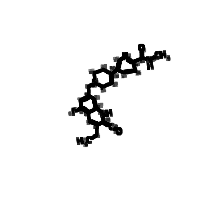 CCC1=Cc2c(F)cc(CN3CC=C(c4ccc(C(=O)NC)nc4)CC3)cc2NC1=C=O